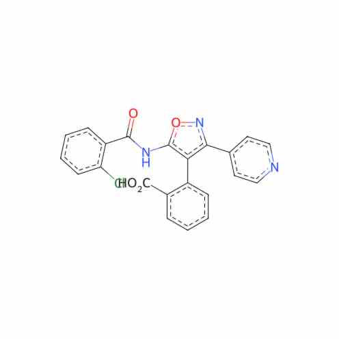 O=C(Nc1onc(-c2ccncc2)c1-c1ccccc1C(=O)O)c1ccccc1Cl